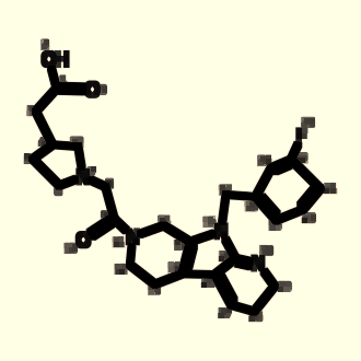 O=C(O)CC1CCN(CC(=O)N2CCc3c(n(Cc4cccc(F)c4)c4c3=CCCN=4)C2)C1